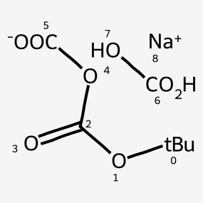 CC(C)(C)OC(=O)OC(=O)[O-].O=C(O)O.[Na+]